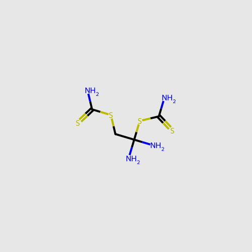 NC(=S)SCC(N)(N)SC(N)=S